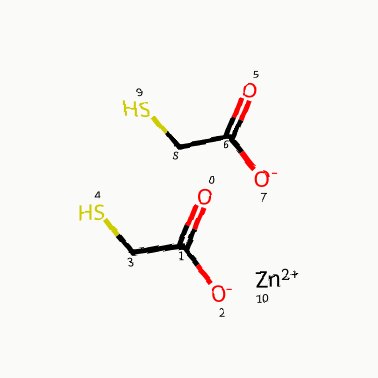 O=C([O-])CS.O=C([O-])CS.[Zn+2]